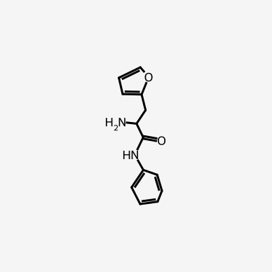 NC(Cc1ccco1)C(=O)Nc1ccccc1